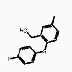 Cc1ccc(Sc2ccc(F)cc2)c(CO)c1